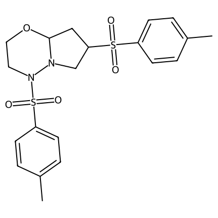 Cc1ccc(S(=O)(=O)C2CC3OCCN(S(=O)(=O)c4ccc(C)cc4)N3C2)cc1